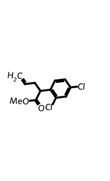 C=CCC(C(=O)OC)c1ccc(Cl)cc1Cl